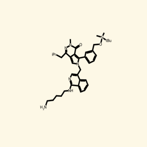 CC(C)Cc1nn(C)c(=O)c2c(-c3cccc(CO[Si](C)(C)C(C)(C)C)c3)n(Cc3cnc(NCCCCCN)c4ccccc34)cc12